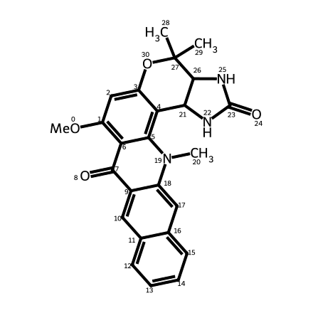 COc1cc2c(c3c1c(=O)c1cc4ccccc4cc1n3C)C1NC(=O)NC1C(C)(C)O2